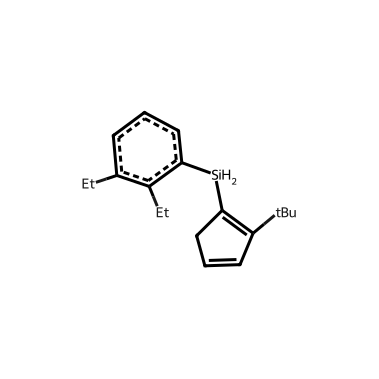 CCc1cccc([SiH2]C2=C(C(C)(C)C)C=CC2)c1CC